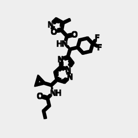 CCCC(=O)N[C@@H](c1cnn2cc([C@@H](NC(=O)c3oncc3C)C3CCC(F)(F)CC3)nc2c1)C1CC1